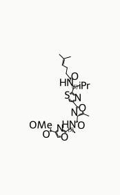 COC(=O)c1coc([C@H](C)NC(=O)c2nc(-c3csc([C@@H](NC(=O)CCC=C(C)C)C(C)C)n3)oc2C)n1